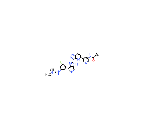 CN(C)CCNc1cc(F)cc(-c2cncc3[nH]c(-c4n[nH]c5ccc(-c6cncc(NC(=O)C7CC7)c6)nc45)nc23)c1